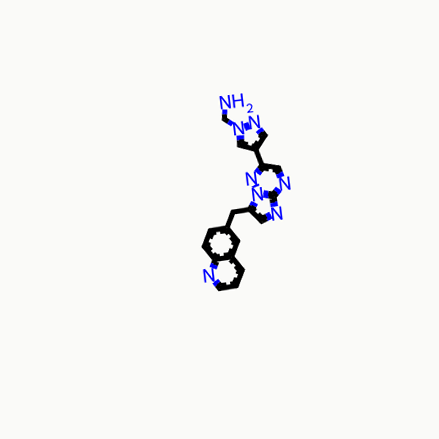 NCn1cc(-c2cnc3ncc(Cc4ccc5ncccc5c4)n3n2)cn1